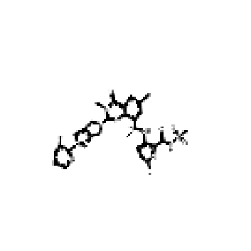 Cc1cc([C@@H](C)Nc2ccc(Cl)nc2C(=O)NS(C)(=O)=O)c2nc(N3Cc4cn(-c5ncccc5C)nc4C3)n(C)c(=O)c2c1